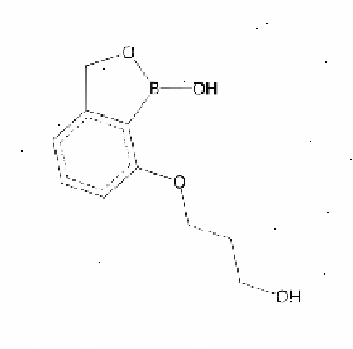 OCCCOc1cccc2c1B(O)OC2